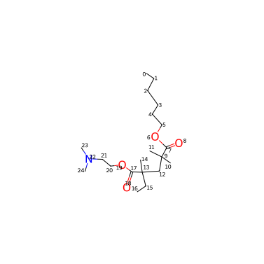 CCCCCCOC(=O)C(C)(C)CC(C)(CC)C(=O)OCCN(C)C